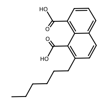 CCCCCCc1ccc2cccc(C(=O)O)c2c1C(=O)O